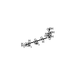 CC(C)(C)OC(=O)NCCCC[C@H](N)C(=O)NCCCCC(=O)NCCCC[C@H](NC(=O)N[C@@H](CCC(=O)O)C(=O)O)C(=O)O